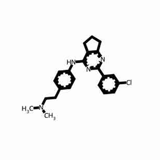 CN(C)CCc1ccc(Nc2nc(-c3cccc(Cl)c3)nc3c2CCC3)cc1